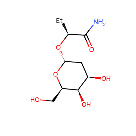 CC[C@H](O[C@@H]1C[C@@H](O)[C@@H](O)[C@@H](CO)O1)C(N)=O